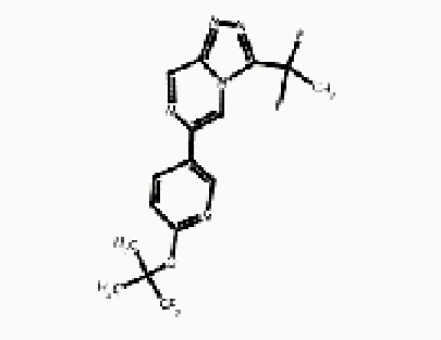 CC(F)(F)c1nnc2cnc(-c3ccc(OC(C)(C)C(F)(F)F)nc3)cn12